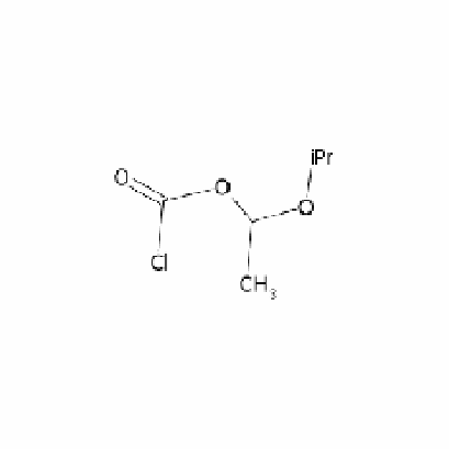 CC(C)OC(C)OC(=O)Cl